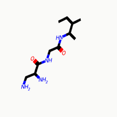 CCC(C)C(C)NC(=O)CNC(=O)C(N)CN